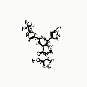 Cn1cc(-c2nc(-c3cnc(C(F)(F)F)s3)cc3c(=O)n([C@@H]4COCC4O)cnc23)cn1